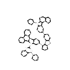 c1ccc(-c2nc(-n3c4cc(-c5cccc6c5-c5cc(-c7ccc8c(c7)c7c9ccccc9ccc7n8-c7ccccc7)ccc5C6)ccc4c4c5ccccc5c5ccccc5c43)nc3ccccc23)cc1